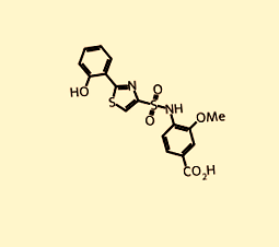 COc1cc(C(=O)O)ccc1NS(=O)(=O)c1csc(-c2ccccc2O)n1